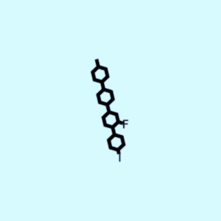 CC1CCC(C2CCC(C3CCC(C4CCC(I)CC4)C(F)C3)CC2)CC1